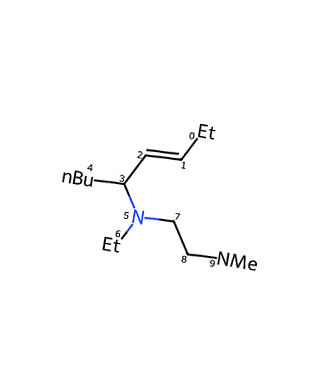 CCC=CC(CCCC)N(CC)CCNC